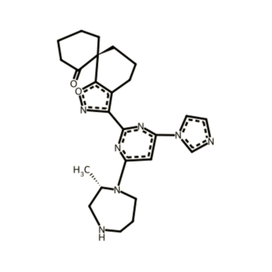 C[C@H]1CNCCCN1c1cc(-n2ccnc2)nc(-c2noc3c2CCC[C@@]32CCCCC2=O)n1